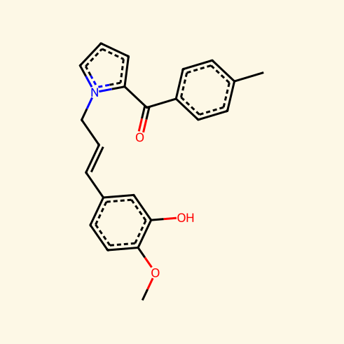 COc1ccc(/C=C/Cn2cccc2C(=O)c2ccc(C)cc2)cc1O